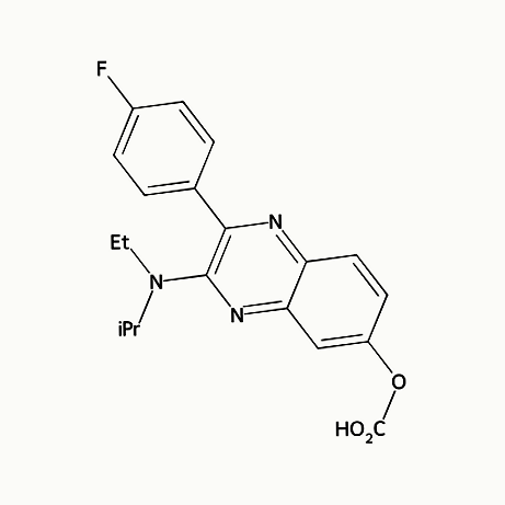 CCN(c1nc2cc(OC(=O)O)ccc2nc1-c1ccc(F)cc1)C(C)C